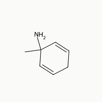 CC1(N)C=CCC=C1